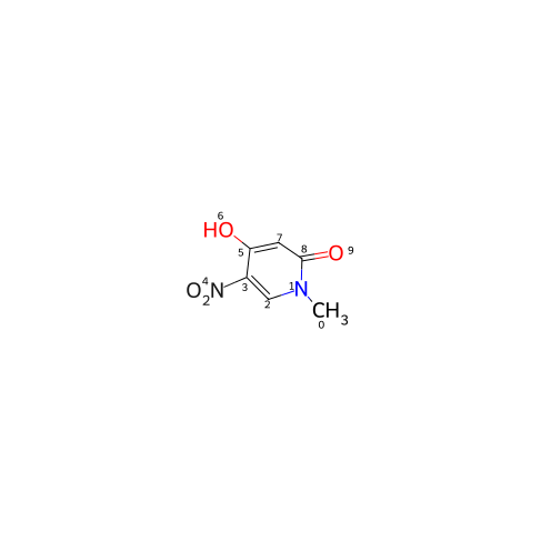 Cn1cc([N+](=O)[O-])c(O)cc1=O